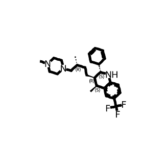 C[C@H](CC[C@@H]1[C@H](C)c2cc(C(F)(F)F)ccc2N[C@H]1C1C=CC=CC1)CN1CCN(C)CC1